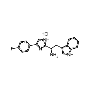 Cl.N[C@H](Cc1c[nH]c2ccccc12)c1nc(-c2ccc(F)cc2)c[nH]1